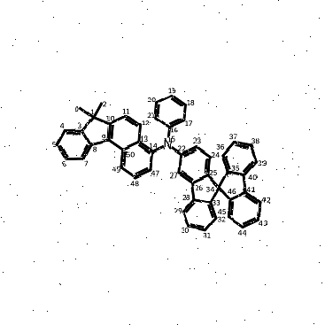 CC1(C)c2ccccc2-c2c1ccc1c(N(c3ccccc3)c3ccc4c(c3)-c3ccccc3C43c4ccccc4-c4ccccc43)cccc21